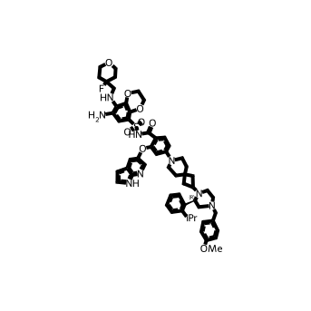 COc1ccc(CN2CCN(C3CC4(CCN(c5ccc(C(=O)NS(=O)(=O)c6cc(N)c(NCC7(F)CCOCC7)c7c6OCCO7)c(Oc6cnc7[nH]ccc7c6)c5)CC4)C3)[C@H](c3ccccc3C(C)C)C2)cc1